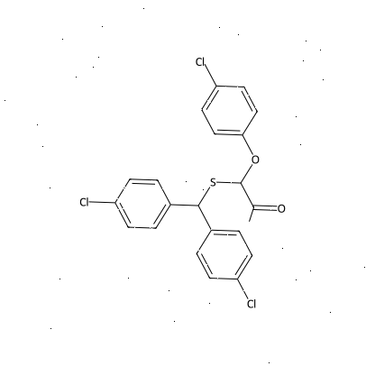 CC(=O)C(Oc1ccc(Cl)cc1)SC(c1ccc(Cl)cc1)c1ccc(Cl)cc1